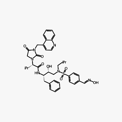 CC(C)CN(C[C@@H](O)[C@H](Cc1ccccc1)NC(=O)[C@H](C(C)C)N1CC(=O)N(Cc2ccnc3ccccc23)C1=O)S(=O)(=O)c1ccc(C=NO)cc1